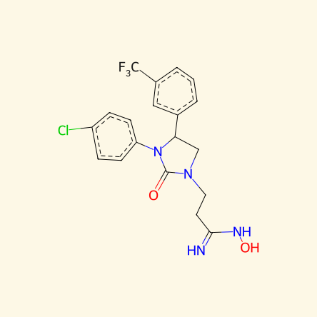 N=C(CCN1CC(c2cccc(C(F)(F)F)c2)N(c2ccc(Cl)cc2)C1=O)NO